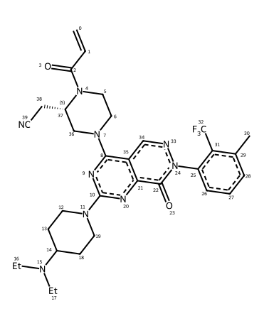 C=CC(=O)N1CCN(c2nc(N3CCC(N(CC)CC)CC3)nc3c(=O)n(-c4cccc(C)c4C(F)(F)F)ncc23)C[C@@H]1CC#N